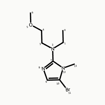 CCN(CCOC)c1ncc(Br)n1C